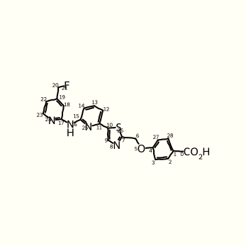 O=C(O)c1ccc(OCc2ncc(-c3cccc(Nc4cc(CF)ccn4)n3)s2)cc1